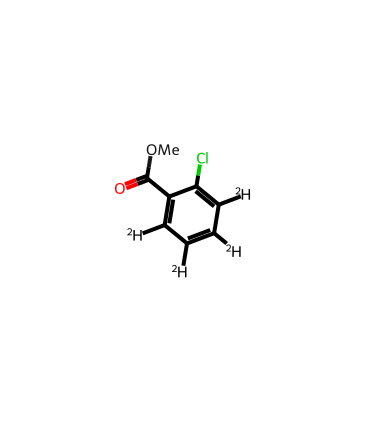 [2H]c1c([2H])c([2H])c(C(=O)OC)c(Cl)c1[2H]